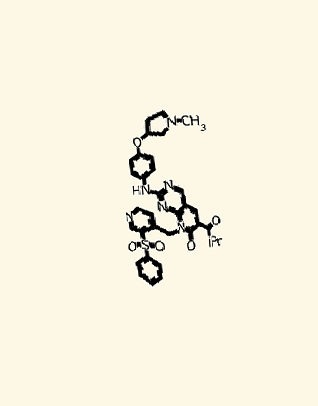 CC(C)C(=O)c1cc2cnc(Nc3ccc(OC4CCN(C)C4)cc3)nc2n(Cc2ccncc2S(=O)(=O)c2ccccc2)c1=O